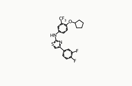 Fc1ccc(-c2csc(Nc3ccc(OC4CCCC4)c(C(F)(F)F)c3)n2)cc1F